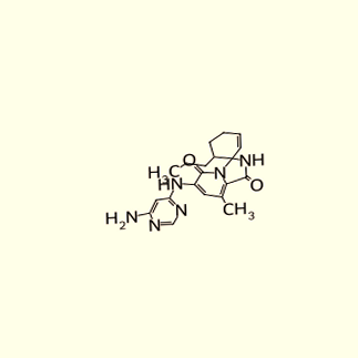 CCCC1CCC=CC12NC(=O)c1c(C)cc(Nc3cc(N)ncn3)c(=O)n12